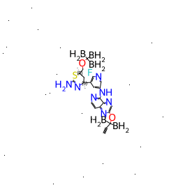 BC(B)(B)OC[C@@]1(C)C[C@@](C)(c2cc(Nc3nccc4nc(OC(B)(B)C#C)cnc34)cnc2F)N=C(N)S1